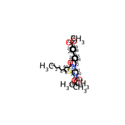 CCCCCC1=CSC(C(=O)N(Cc2ccc(-c3ccc(C(=O)OC)cc3)cc2)C2CCN(C(=O)OC(C)(C)C)CC2)C1